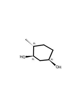 C[C@@H]1CC[C@@H](O)C[C@H]1O